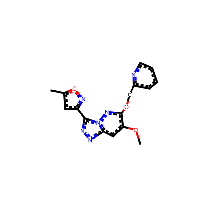 COc1cc2nnc(-c3cc(C)on3)n2nc1OCc1ccccn1